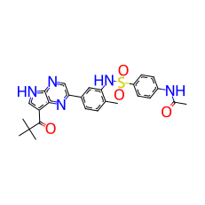 CC(=O)Nc1ccc(S(=O)(=O)Nc2cc(-c3cnc4[nH]cc(C(=O)C(C)(C)C)c4n3)ccc2C)cc1